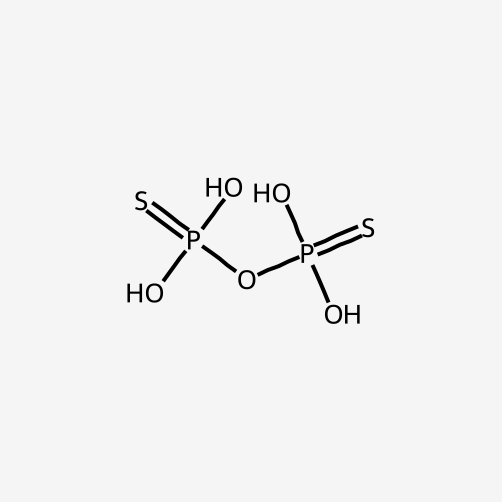 OP(O)(=S)OP(O)(O)=S